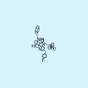 O=C(NCCCN1CCOCC1)c1c(O)c2ncc(Cc3ccc(F)cc3)cc2n(CCCS(=O)(=O)N2CCCC2)c1=O